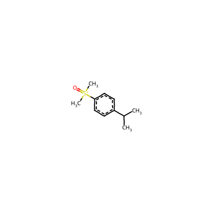 CC(C)c1ccc([S+](C)(C)=O)cc1